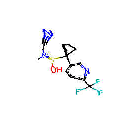 C[N+](C#N)=S(O)C1(c2ccc(C(F)(F)F)nc2)CC1